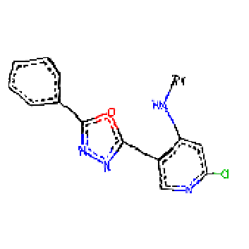 CC(C)Nc1cc(Cl)ncc1-c1nnc(-c2ccccc2)o1